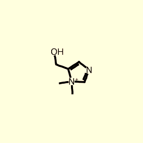 C[N+]1(C)C=NC=C1CO